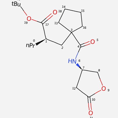 CCC[C@H](CC1(C(=O)N[C@H]2COC(=O)C2)CCCC1)C(=O)OC(C)(C)C